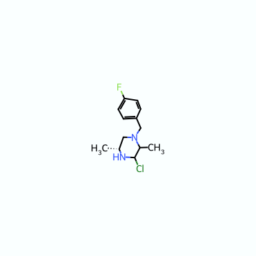 CC1C(Cl)N[C@H](C)CN1Cc1ccc(F)cc1